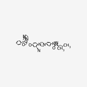 CCCC(C)n1ncn(-c2ccc(N3CCN(c4ccc(OC[C@@H]5CO[C@@](Cn6nccn6)(c6ccccc6)O5)cc4C#N)CC3)cc2)c1=O